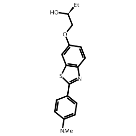 CC[C@H](O)COc1ccc2nc(-c3ccc(NC)cc3)sc2c1